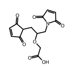 O=C(O)COC(CC1C(=O)C=CC1=O)CN1C(=O)C=CC1=O